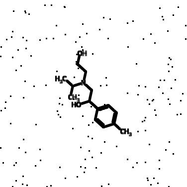 Cc1ccc(C(O)CN(CCO)C(C)C)cc1